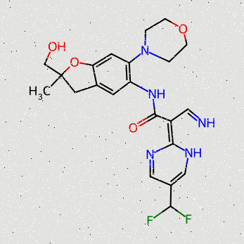 CC1(CO)Cc2cc(NC(=O)/C(C=N)=C3\N=CC(C(F)F)=CN3)c(N3CCOCC3)cc2O1